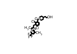 Cc1cc(C(F)(F)F)cn2c(C)c(Cc3c(Cl)ccc(C(=O)N4CCC(CCO)CC4)c3Cl)nc12